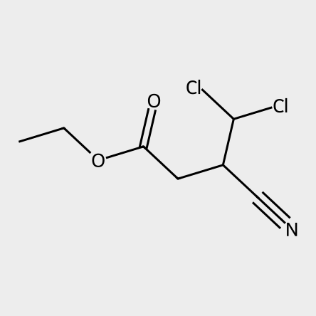 CCOC(=O)CC(C#N)C(Cl)Cl